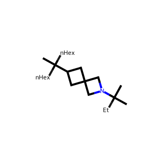 CCCCCCC(C)(CCCCCC)C1CC2(C1)CN(C(C)(C)CC)C2